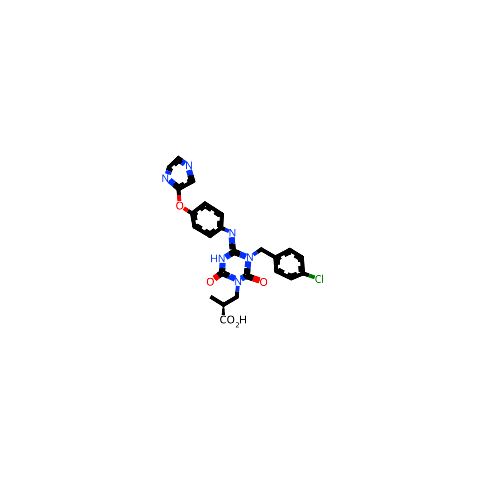 C[C@@H](Cn1c(=O)[nH]/c(=N\c2ccc(Oc3cnccn3)cc2)n(Cc2ccc(Cl)cc2)c1=O)C(=O)O